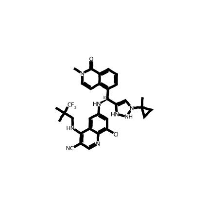 Cn1ccc2c([C@H](Nc3cc(Cl)c4ncc(C#N)c(NCC(C)(C)C(F)(F)F)c4c3)C3=CN(C4(C)CC4)NN3)cccc2c1=O